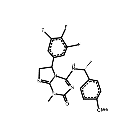 COc1ccc([C@@H](C)NC2=NC(=O)N(C)C3=NCC(c4cc(F)c(F)c(F)c4)N23)cc1